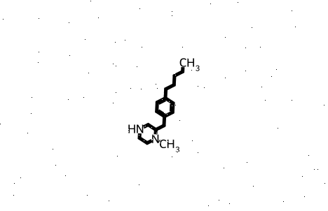 CCCCCc1ccc(CC2CNCCN2C)cc1